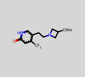 COC1CN(CCc2c[nH]c(=O)cc2C(F)(F)F)C1